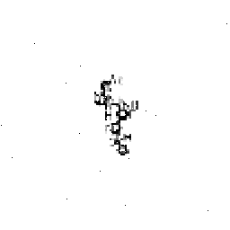 CC(=O)c1ccc(-c2nccc3[nH]c(-c4n[nH]c5c(F)cc(-c6cncc(NC(=O)C7CCCC7)c6)cc45)nc23)s1